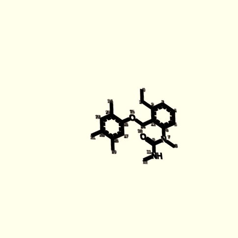 CCc1cccc(N(C)C(=O)NC)c1COc1cc(C)c(C)cc1C